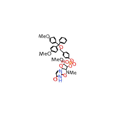 CN[C@H]1C(OP(=O)(O)Oc2ccc(COC(c3ccccc3)(c3ccc(OC)cc3)c3ccc(OC)cc3)cc2)[C@@H](COC)O[C@H]1n1ccc(=O)[nH]c1=O